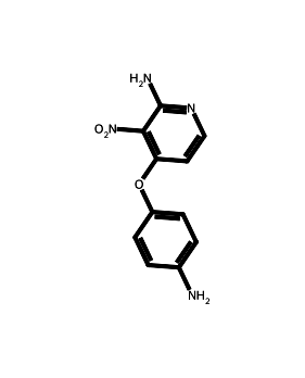 Nc1ccc(Oc2ccnc(N)c2[N+](=O)[O-])cc1